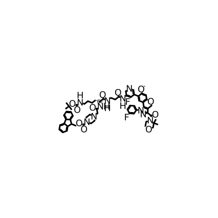 COc1cc2c(cc1-c1cncc(NC(=O)CCNC(=O)[C@@H](CCCCNC(=O)OC(C)(C)C)NC(=O)CN3CCN(C(=O)OCC4c5ccccc5-c5ccccc54)CC3)c1)-c1c(c(C(=O)N3CCOCC3(C)C)nn1-c1cc(F)cc(F)c1)CO2